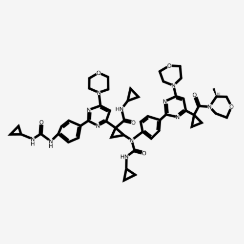 C[C@H]1COCCN1C(=O)C1(c2cc(N3CCOCC3)nc(-c3ccc(N(C(=O)NC4CC4)C4CC4(C(=O)NC4CC4)c4cc(N5CCOCC5)nc(-c5ccc(NC(=O)NC6CC6)cc5)n4)cc3)n2)CC1